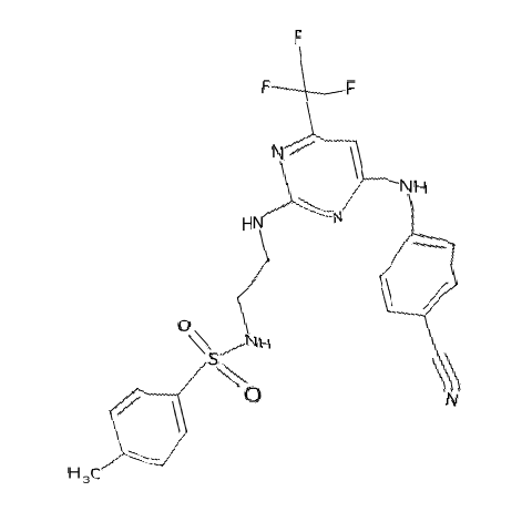 Cc1ccc(S(=O)(=O)NCCNc2nc(Nc3ccc(C#N)cc3)cc(C(F)(F)F)n2)cc1